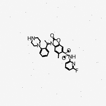 Cc1cc2c(cc1S(=O)(=O)Nc1cccc(F)n1)oc(=O)n2[C@H](C)c1ccccc1N1CCNCC1